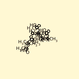 Cc1cc(Cc2c(C)nn(Cc3ccccc3)c2C)c2c(c1O)CCC2.Cc1cc(Cc2c(C)nn(Cc3noc(O)n3)c2C)c2c(c1O)CCC2.Cc1nc(Cn2nc(C)c(Cc3cc(C)c(O)c4c3CCC4)c2C)cc(=O)[nH]1